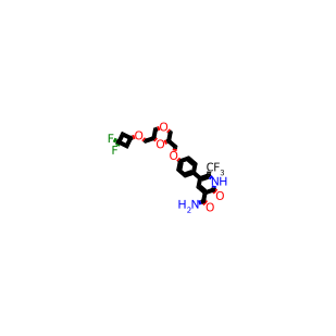 NC(=O)c1cc(-c2ccc(OCC3COCC(COC4CC(F)(F)C4)O3)cc2)c(C(F)(F)F)[nH]c1=O